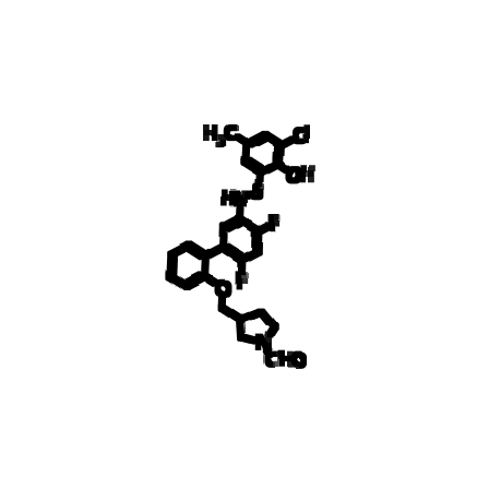 Cc1cc(Cl)c(O)c(SNc2cc(-c3ccccc3OCC3CCN(C=O)C3)c(F)cc2F)c1